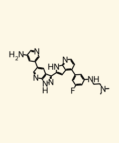 CN(C)CCNc1cc(F)cc(-c2ccnc3[nH]c(-c4n[nH]c5ncc(-c6cncc(N)c6)cc45)cc23)c1